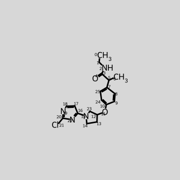 CCNC(=O)C(C)c1ccc(OC2CCN(c3ccnc(Cl)n3)C2)cc1